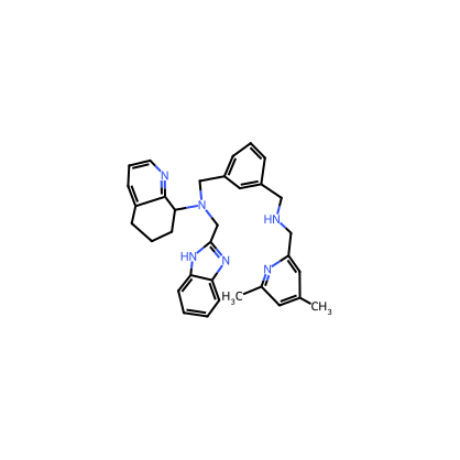 Cc1cc(C)nc(CNCc2cccc(CN(Cc3nc4ccccc4[nH]3)C3CCCc4cccnc43)c2)c1